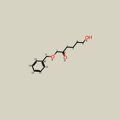 O=C(CCCCO)COCc1ccccc1